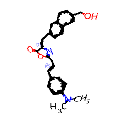 CN(C)c1ccc(/C=C/C2=NC(=C\c3ccc4cc(CO)ccc4c3)/C(=O)O2)cc1